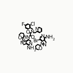 Nc1ncc(Br)c2c1cnn2C1CCCCO1.Nc1ncc(NC(=O)C(=O)N(Cc2ccccn2)Cc2ccc(F)cc2Cl)c2c1cnn2C1CCCCO1